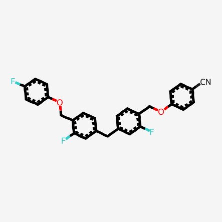 N#Cc1ccc(OCc2ccc(Cc3ccc(COc4ccc(F)cc4)c(F)c3)cc2F)cc1